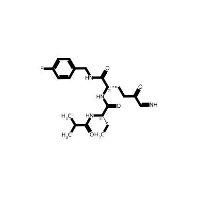 CC[C@H](NC(=O)C(C)C)C(=O)N[C@@H](CCC(=O)C=N)C(=O)NCc1ccc(F)cc1